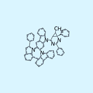 CC1C2C(n3c4ccccc4c4cc5c(cc43)n3c4ccccc4c4cccc(c6cccc7cc(-c8ccccc8)n5c76)c43)=NC(c3ccccc3)=N[C@@]12c1ccccc1